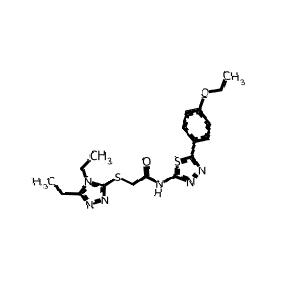 CCOc1ccc(-c2nnc(NC(=O)CSc3nnc(CC)n3CC)s2)cc1